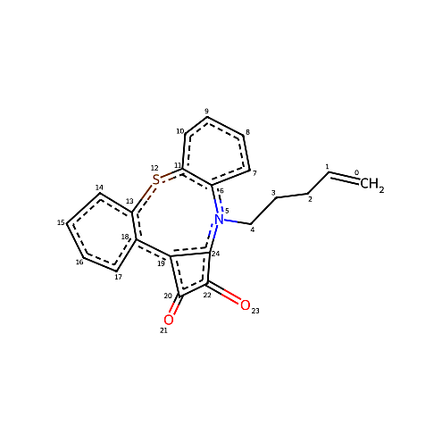 C=CCCCn1c2ccccc2sc2ccccc2c2c(=O)c(=O)c21